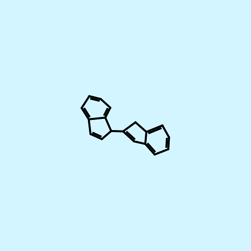 C1=CC(C2=Cc3ccccc3C2)c2ccccc21